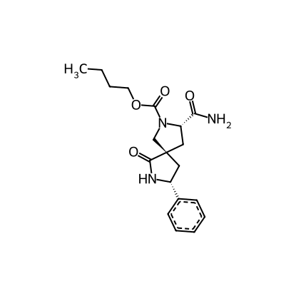 CCCCOC(=O)N1C[C@]2(C[C@H](c3ccccc3)NC2=O)C[C@H]1C(N)=O